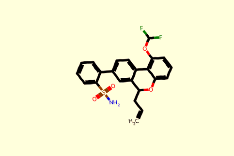 C=CCC1Oc2cccc(OC(F)F)c2-c2ccc(-c3ccccc3S(N)(=O)=O)cc21